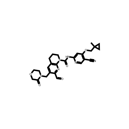 CC1(COc2cc(NC(=O)N3CCCc4cc(CN5CCOCC5=O)c(C=O)nc43)ncc2C#N)CC1